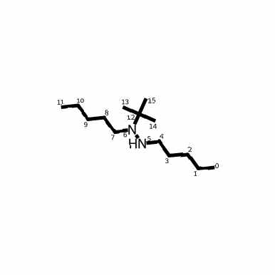 CCCCCNN(CCCCC)C(C)(C)C